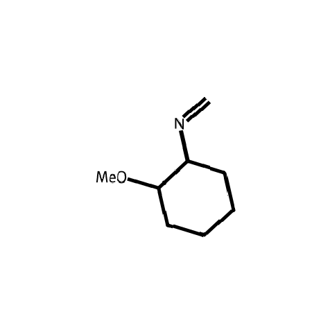 C=NC1CCCCC1OC